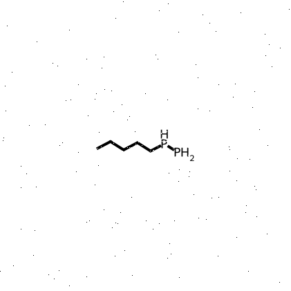 CCCCCPP